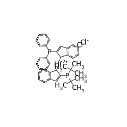 CC(C)(C)P(C1=Cc2ccccc2[CH]1[Hf+2][CH]1C(P(c2ccccc2)c2ccccc2)=Cc2ccccc21)C(C)(C)C.[Cl-].[Cl-]